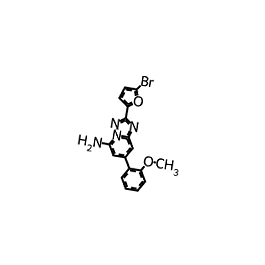 COc1ccccc1-c1cc(N)n2nc(-c3ccc(Br)o3)nc2c1